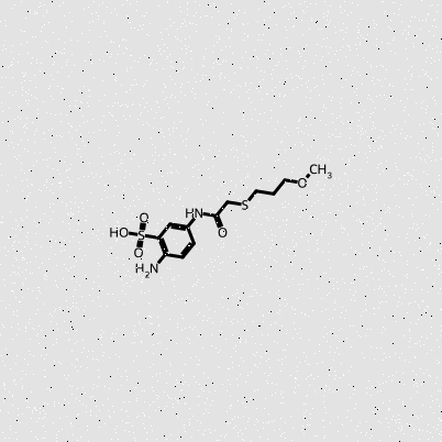 COCCCSCC(=O)Nc1ccc(N)c(S(=O)(=O)O)c1